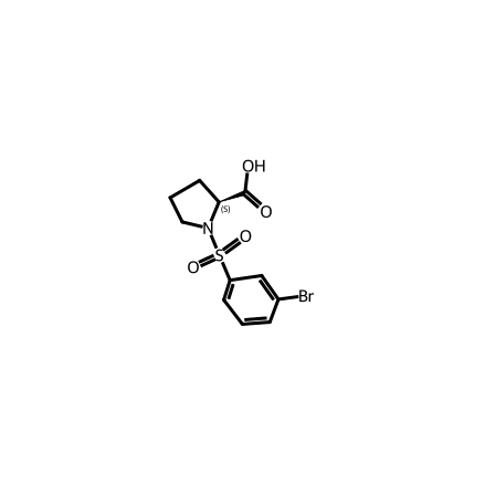 O=C(O)[C@@H]1CCCN1S(=O)(=O)c1cccc(Br)c1